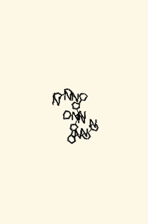 c1ccc(-n2c(-c3ccc4c(c3)c3ccccc3n4-c3cccc(-c4cccnc4)n3)nnc2-c2ccc3c4ccccc4n(-c4cccc(-c5cccnc5)n4)c3c2)cc1